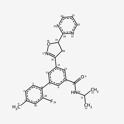 Cc1ccc(-c2cc(C(=O)NC(C)C)cc(C3=NOC(c4ncccn4)C3)c2)c(F)c1